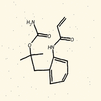 C=CC(=O)Nc1ccccc1CC(C)(C)OC(N)=O